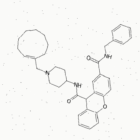 O=C(NCc1ccccc1)c1ccc2c(c1)C(C(=O)NC1CCN(CC3=CCCCCCCC3)CC1)c1ccccc1O2